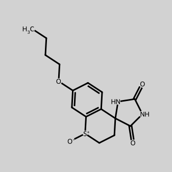 CCCCOc1ccc2c(c1)[S+]([O-])CCC21NC(=O)NC1=O